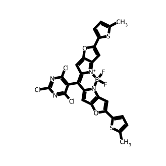 Cc1ccc(-c2cc3c(o2)=CC2=C(c4c(Cl)nc(Cl)nc4Cl)c4cc5oc(-c6ccc(C)s6)cc5n4[B-](F)(F)[N+]=32)s1